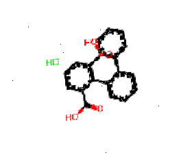 Cl.O=C(O)c1cccc(C(=O)O)c1-c1ccccc1-c1ccccc1